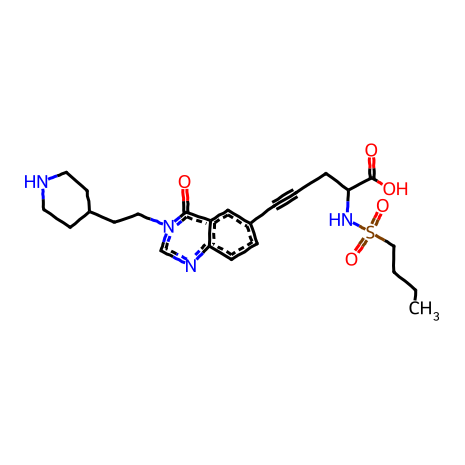 CCCCS(=O)(=O)NC(CC#Cc1ccc2ncn(CCC3CCNCC3)c(=O)c2c1)C(=O)O